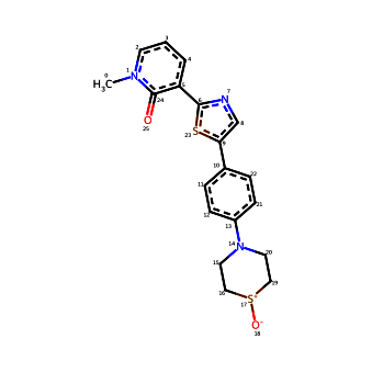 Cn1cccc(-c2ncc(-c3ccc(N4CC[S+]([O-])CC4)cc3)s2)c1=O